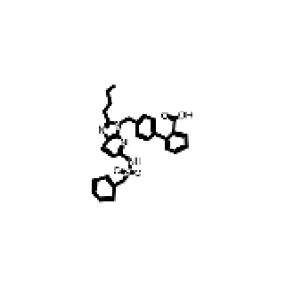 CCCCc1nc2ccc(NS(=O)(=O)Cc3ccccc3)nc2n1Cc1ccc(-c2ccccc2C(=O)O)cc1